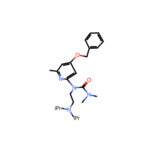 Cc1cc(OCc2ccccc2)cc(N(CCN(C(C)C)C(C)C)C(=O)N(C)C)n1